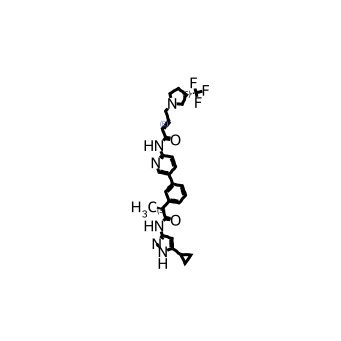 C[C@H](C(=O)Nc1cc(C2CC2)[nH]n1)c1cccc(-c2ccc(NC(=O)/C=C/CN3CC[C@H](C(F)(F)F)C3)nc2)c1